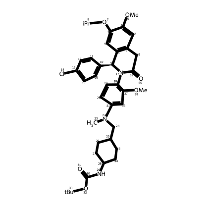 COc1cc2c(cc1OC(C)C)[C@H](c1ccc(Cl)cc1)N(c1ccc(N(C)CC3CCC(NC(=O)OC(C)(C)C)CC3)cc1OC)C(=O)C2